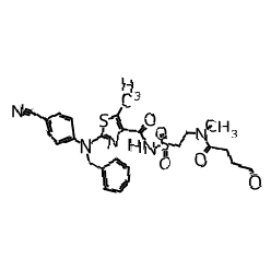 Cc1sc(N(Cc2ccccc2)c2ccc(C#N)cc2)nc1C(=O)NS(=O)(=O)CCN(C)C(=O)CCC=O